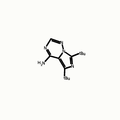 CC(C)(C)c1nc(C(C)(C)C)n2ncnc(N)c12